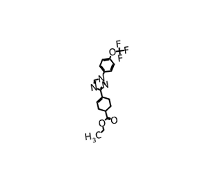 CCOC(=O)C1CC=C(c2ncn(-c3ccc(OC(F)(F)F)cc3)n2)CC1